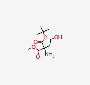 COC(=O)C(N)(CCO)C(=O)OC(C)(C)C